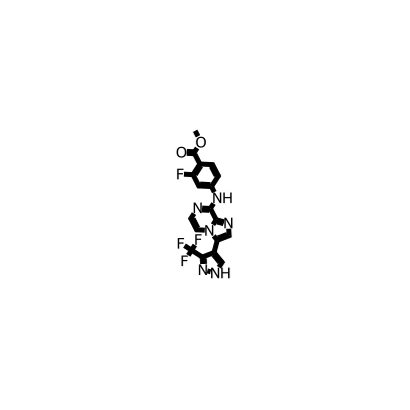 COC(=O)c1ccc(Nc2nccn3c(-c4c[nH]nc4C(F)(F)F)cnc23)cc1F